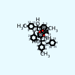 Cc1ccc(C(O)(c2ccc(C)cc2)[C@@H](Cc2ccccc2)NC(=O)C2(C(=O)N[C@H](Cc3ccccc3)C(O)(c3ccc(C)cc3)c3ccc(C)cc3)CC2)cc1